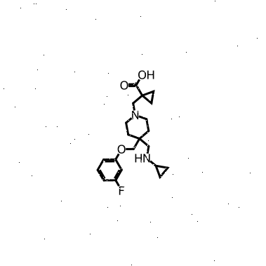 O=C(O)C1(CN2CCC(CNC3CC3)(COc3cccc(F)c3)CC2)CC1